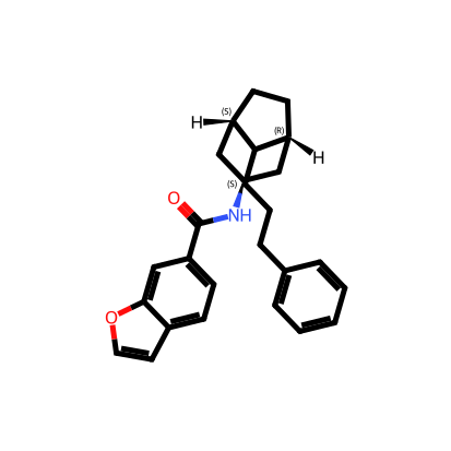 O=C(N[C@@H]1C[C@H]2CC[C@@H](C1)C2CCCc1ccccc1)c1ccc2ccoc2c1